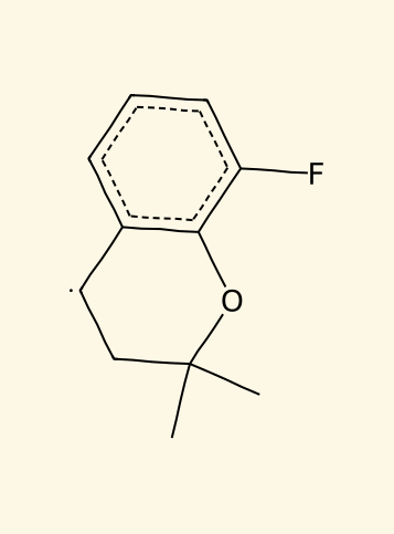 CC1(C)C[CH]c2cccc(F)c2O1